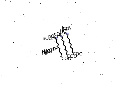 CCCCCCCC/C=C\CCCCCCCC(=O)[O-].CCCCCCCC/C=C\CCCCCCCC(=O)[O-].CCCCCCCC/C=C\CCCCCCCC(=O)[O-].[Fe+3].[Fe+3].[Fe+3].[Fe+3].[O-2].[O-2].[O-2].[OH-].[OH-].[OH-]